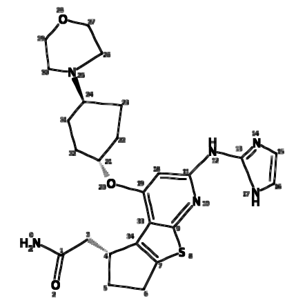 NC(=O)C[C@H]1CCc2sc3nc(Nc4ncc[nH]4)cc(O[C@H]4CC[C@H](N5CCOCC5)CC4)c3c21